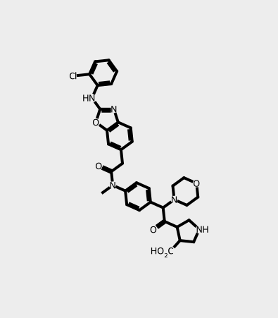 CN(C(=O)Cc1ccc2nc(Nc3ccccc3Cl)oc2c1)c1ccc(C(C(=O)C2CNCC2C(=O)O)N2CCOCC2)cc1